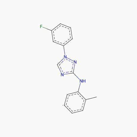 Cc1cc[c]cc1Nc1ncn(-c2cccc(F)c2)n1